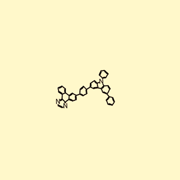 c1ccc(-c2ccc3c(c2)c2cc(-c4ccc(-c5ccc6c(c5)c5ccccc5c5nccnc65)cc4)ccc2n3-c2ccccc2)cc1